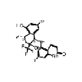 CC[C@H]1C[C@@](O)(C(F)(F)F)[C@H](Nc2cc(F)cc3[nH]c(=O)ccc23)c2cc(Br)cc(O)c21